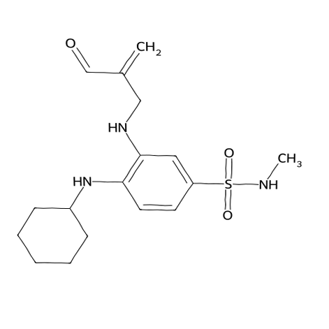 C=C(C=O)CNc1cc(S(=O)(=O)NC)ccc1NC1CCCCC1